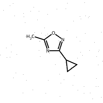 [CH2]c1nc(C2CC2)no1